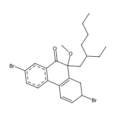 CCCCC(CC)CC1(OC)C(=O)c2cc(Br)ccc2C2=C1CC(Br)C=C2